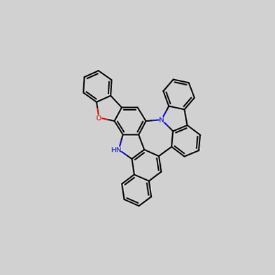 c1ccc2c(c1)cc1c3cccc4c5ccccc5n(c5cc6c7ccccc7oc6c6[nH]c2c1c65)c34